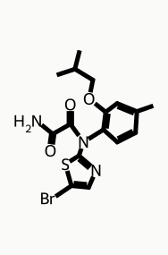 Cc1ccc(N(C(=O)C(N)=O)c2ncc(Br)s2)c(OCC(C)C)c1